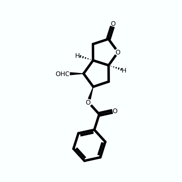 O=C[C@H]1[C@H]2CC(=O)O[C@H]2C[C@H]1OC(=O)c1ccccc1